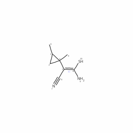 CC1CC1(C)/C(C#N)=C(/N)S